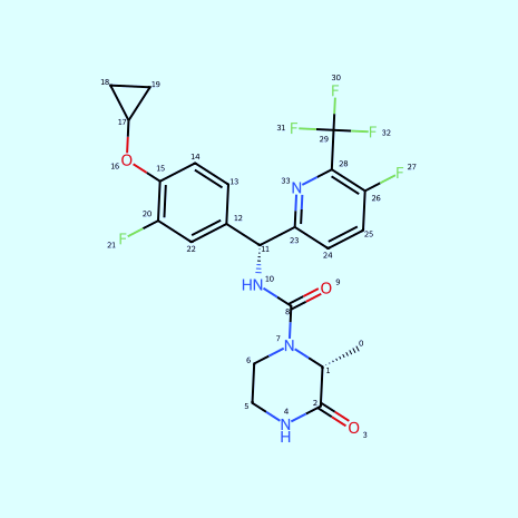 C[C@@H]1C(=O)NCCN1C(=O)N[C@H](c1ccc(OC2CC2)c(F)c1)c1ccc(F)c(C(F)(F)F)n1